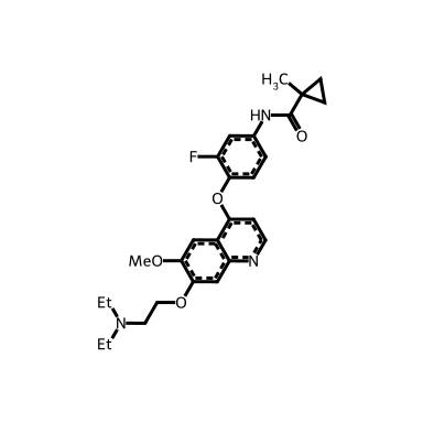 CCN(CC)CCOc1cc2nccc(Oc3ccc(NC(=O)C4(C)CC4)cc3F)c2cc1OC